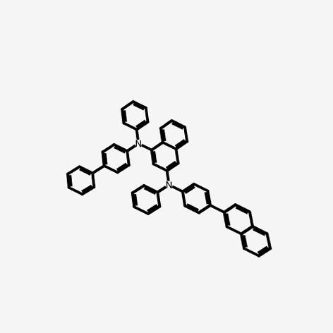 c1ccc(-c2ccc(N(c3ccccc3)c3cc(N(c4ccccc4)c4ccc(-c5ccc6ccccc6c5)cc4)cc4ccccc34)cc2)cc1